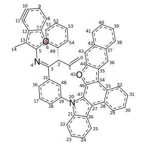 C=C[C@H](/C(=N\c1oc2ccc#cc2c1C)c1cccc(-n2c3ccccc3c3c4ccccc4c4c5cc6ccccc6cc5oc4c32)c1)c1ccccc1